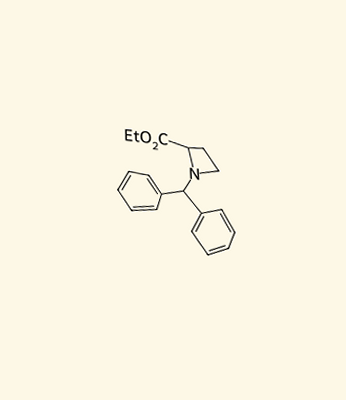 CCOC(=O)C1CCN1C(c1ccccc1)c1ccccc1